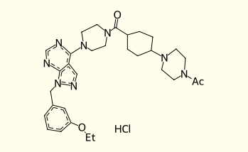 CCOc1cccc(Cn2ncc3c(N4CCN(C(=O)C5CCC(N6CCN(C(C)=O)CC6)CC5)CC4)ncnc32)c1.Cl